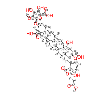 COC(=O)CCC1(O)OC(=O)c2c1ccc1c2CC2C(CO)(CCC3C2(C)CCC2C4(C)CCC5C6(C)CCC7C(C)(C(=O)O)C(O[C@@H]8O[C@H](C(=O)O)[C@@H](O)[C@H](O)[C@H]8OC)CC(C)C7(C)C6CC(C)C5(C)C4CCC32CO)O1